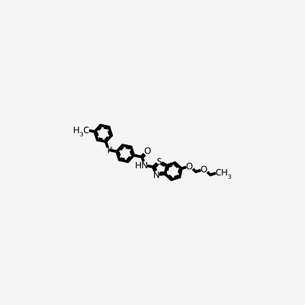 CCOCOc1ccc2nc(NC(=O)c3ccc([I+]c4cccc(C)c4)cc3)sc2c1